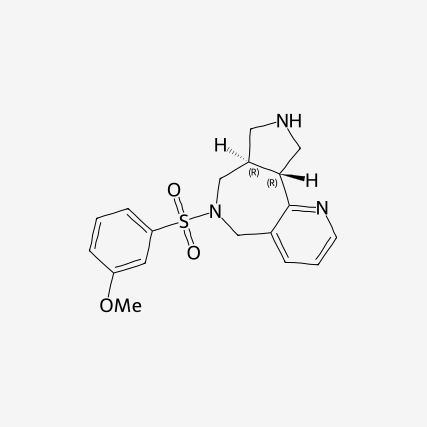 COc1cccc(S(=O)(=O)N2Cc3cccnc3[C@H]3CNC[C@@H]3C2)c1